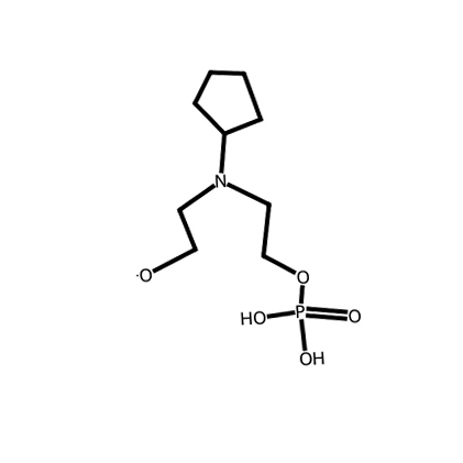 [O]CCN(CCOP(=O)(O)O)C1CCCC1